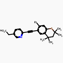 CCc1cc2c(cc1C#Cc1ccc(CC(=O)O)cn1)C(C)(C)CC(C)(C)S2